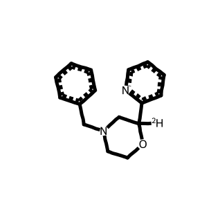 [2H]C1(c2ccccn2)CN(Cc2ccccc2)CCO1